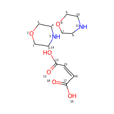 C1COCCN1.C1COCCN1.O=C(O)/C=C\C(=O)O